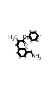 CC(=Cc1cccc(CN)c1)C(=O)Oc1ccccc1